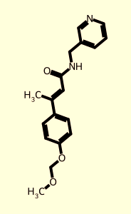 COCOc1ccc(/C(C)=C/C(=O)NCc2cccnc2)cc1